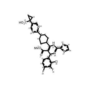 COC(=O)C1=C(C2CCC(c3ncc(C4(C(=O)O)CC4)cn3)CC2)NC(c2nccs2)=NC1c1ccc(F)c(F)c1Cl